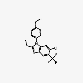 [CH2]Cc1ccc(-n2c(CC)nc3cc(C(F)(F)F)c(Cl)cc32)cc1